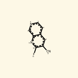 N#Cc1cc2ccncc2nc1F